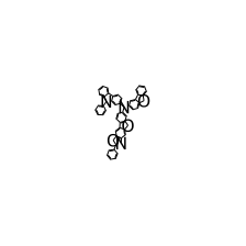 c1ccc(-c2nc3cc4oc5cc(N(c6ccc7oc8ccccc8c7c6)c6ccc7c8ccccc8n(-c8ccccc8)c7c6)ccc5c4cc3o2)cc1